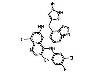 CC(C)N1C=C([C@@H](Nc2cc(Cl)c3ncc(C#N)c(Nc4ccc(F)c(Cl)c4)c3c2)c2cccn3nccc23)NN1